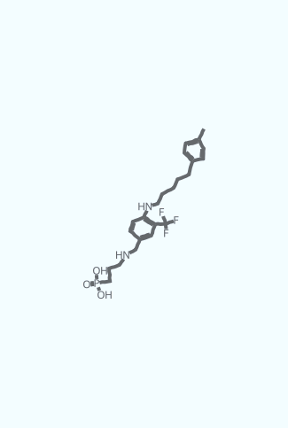 Cc1ccc(CCCCCNc2ccc(CNCCCP(=O)(O)O)cc2C(F)(F)F)cc1